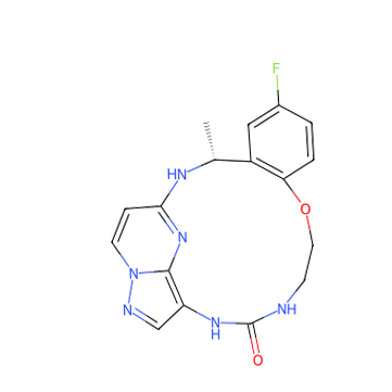 C[C@H]1Nc2ccn3ncc(c3n2)NC(=O)NCCOc2ccc(F)cc21